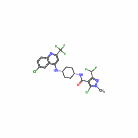 Cn1nc(C(F)F)c(C(=O)N[C@H]2CC[C@@H](Nc3cc(C(F)(F)F)nc4ccc(Cl)cc34)CC2)c1Cl